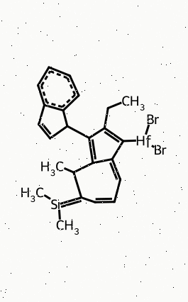 CCC1=[C]([Hf]([Br])[Br])C2=CC=CC(=[Si](C)C)C(C)C2=C1C1C=Cc2ccccc21